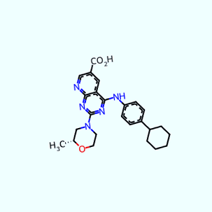 C[C@@H]1CN(c2nc(Nc3ccc(C4CCCCC4)cc3)c3cc(C(=O)O)cnc3n2)CCO1